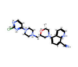 C[C@@H]1CN(c2ccc(C#N)c3ncccc23)C[C@H](CN2CCN(c3ccnc(Cl)n3)CC2)O1